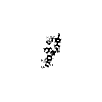 CC(Cn1cnnn1)Oc1cc(-c2cnc(Nc3cn(C4CCC([C@@]5(C)CNC[C@@H](C)O5)CC4)nc3OCC3CCOCC3)nc2)ccc1C#N